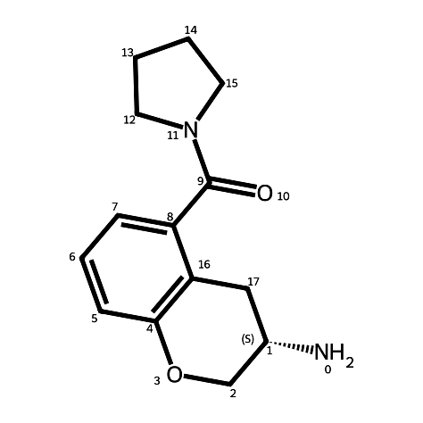 N[C@@H]1COc2cccc(C(=O)N3CCCC3)c2C1